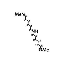 CNCCCCCCNCCCCCCOC